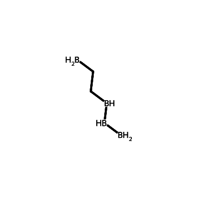 BBBCCB